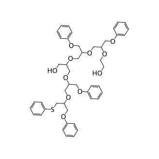 OCCOC(COc1ccccc1)COC(COc1ccccc1)COC(CO)COC(COc1ccccc1)COC(COc1ccccc1)CSc1ccccc1